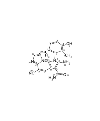 Cc1ccc(O)c(C)c1-n1c(N)c(C(N)=O)c2cc(C#N)c3ncnn3c21